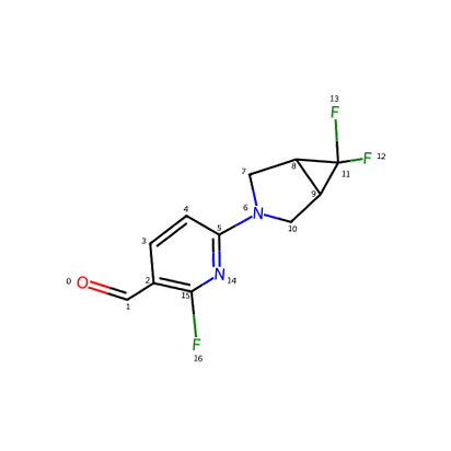 O=Cc1ccc(N2CC3C(C2)C3(F)F)nc1F